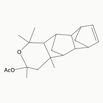 CC(=O)OC1(C)CC2(C)C3CC(C4C5C=CC(C5)C43)C2C(C)(C)O1